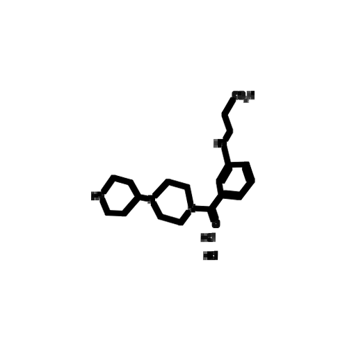 Cl.Cl.O=C(O)CCNc1cccc(C(=O)N2CCN(C3CCNCC3)CC2)c1